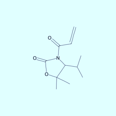 C=CC(=O)N1C(=O)OC(C)(C)C1C(C)C